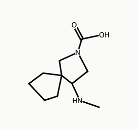 CNC1CN(C(=O)O)CC12CCCC2